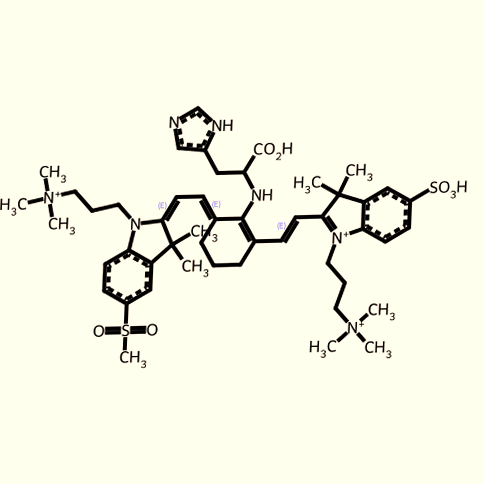 CC1(C)C(/C=C/C2=C(NC(Cc3cnc[nH]3)C(=O)O)C(=C/C=C3/N(CCC[N+](C)(C)C)c4ccc(S(C)(=O)=O)cc4C3(C)C)/CCC2)=[N+](CCC[N+](C)(C)C)c2ccc(S(=O)(=O)O)cc21